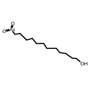 O=[As](=O)CCCCCCCCCCCCO